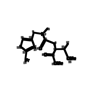 COC(=O)[C@@H](CC(=O)N(C)Cc1csc(C(C)C)n1)C(C)OC